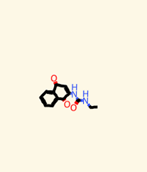 CCNC(=O)NC1=CC(=O)c2ccccc2C1=O